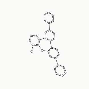 Clc1cccc2c1Oc1cc(-c3ccccc3)ccc1-c1ccc(-c3ccccc3)cc1-2